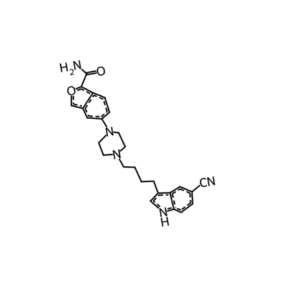 N#Cc1ccc2[nH]cc(CCCCN3CCN(c4ccc5c(C(N)=O)occ5c4)CC3)c2c1